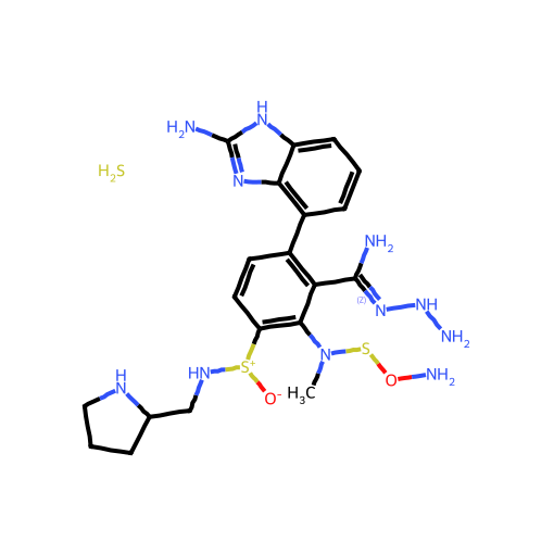 CN(SON)c1c([S+]([O-])NCC2CCCN2)ccc(-c2cccc3[nH]c(N)nc23)c1/C(N)=N/NN.S